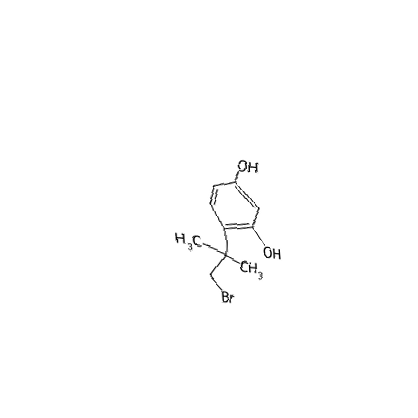 CC(C)(CBr)c1ccc(O)cc1O